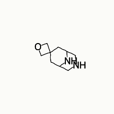 C1NCC2CC3(COC3)CC1N2